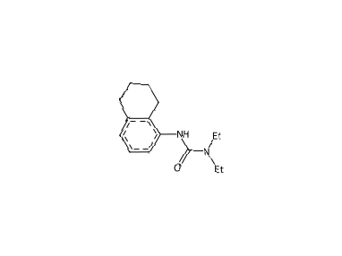 CCN(CC)C(=O)Nc1cccc2c1CCCC2